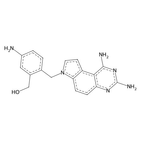 Nc1ccc(Cn2ccc3c4c(N)nc(N)nc4ccc32)c(CO)c1